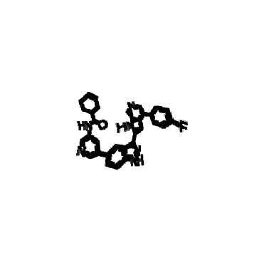 O=C(Nc1cncc(-c2ccc3[nH]nc(-c4cc5c(-c6ccc(F)cc6)cncc5[nH]4)c3c2)c1)C1CCCCC1